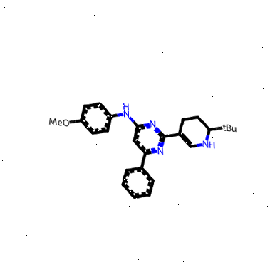 COc1ccc(Nc2cc(-c3ccccc3)nc(C3=CNC(C(C)(C)C)CC3)n2)cc1